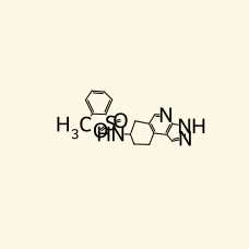 Cc1ccccc1S(=O)(=O)NC1CCc2c(cnc3[nH]ncc23)C1